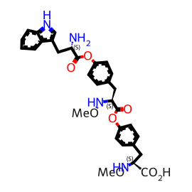 CON[C@@H](Cc1ccc(OC(=O)[C@H](Cc2ccc(OC(=O)[C@@H](N)Cc3c[nH]c4ccccc34)cc2)NOC)cc1)C(=O)O